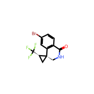 O=C1NC[C@@]2(C[C@@H]2C(F)(F)F)c2cc(Br)ccc21